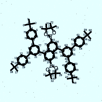 CC(C)(C)c1ccc(-c2cc(-c3ccc(C(C)(C)C)cc3)cc(-c3cc(B4OC(C)(C)C(C)(C)O4)cc4c(-c5cc(-c6ccc(C(C)(C)C)cc6)cc(-c6ccc(C(C)(C)C)cc6)c5)cc(B5OC(C)(C)C(C)(C)O5)cc34)c2)cc1